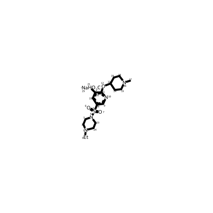 CCN1CCN(S(=O)(=O)c2cnc(OC3CCN(C)CC3)c(C(=O)O)c2)CC1.[Na]